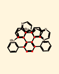 CC(C)(C)c1nc2nccnc2n1-c1cccc(-c2ccccc2)c1-c1ccccc1-c1ccccc1-c1c(-c2ccccc2)cccc1-n1c(C(C)(C)C)nc2nccnc21